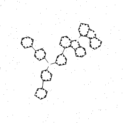 c1ccc(-c2ccc(N(c3ccc(-c4ccccc4)cc3)c3cccc(-c4cccc5c4c4ccccc4n5-c4cccc5sc6ccccc6c45)c3)cc2)cc1